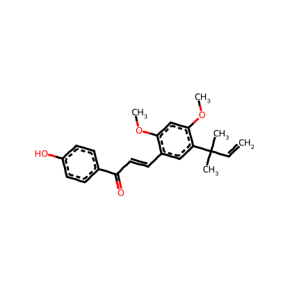 C=CC(C)(C)c1cc(C=CC(=O)c2ccc(O)cc2)c(OC)cc1OC